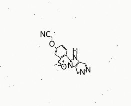 C[S+]([O-])c1cc(OCC#N)ccc1-c1nc2cnncc2[nH]1